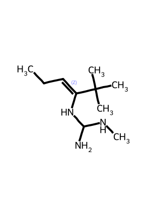 CC/C=C(\NC(N)NC)C(C)(C)C